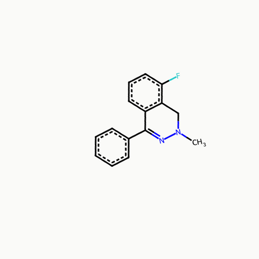 CN1Cc2c(F)cccc2C(c2ccccc2)=N1